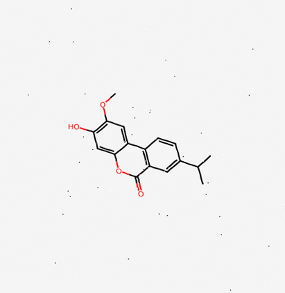 COc1cc2c(cc1O)oc(=O)c1cc(C(C)C)ccc12